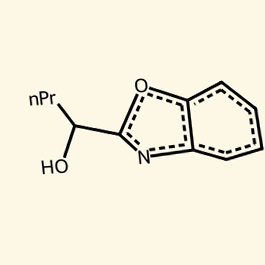 CCCC(O)c1nc2ccccc2o1